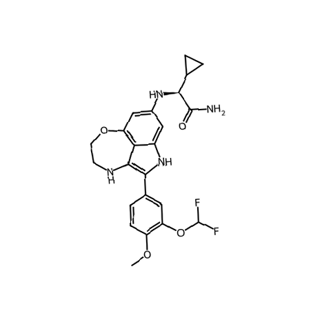 COc1ccc(-c2[nH]c3cc(N[C@H](C(N)=O)C4CC4)cc4c3c2NCCO4)cc1OC(F)F